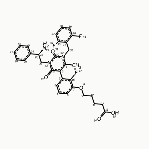 Cc1c(-c2cccc(OCCCCC(=O)O)c2F)c(=O)n(C[C@H](N)c2ccccc2)c(=O)n1Cc1c(F)cccc1F